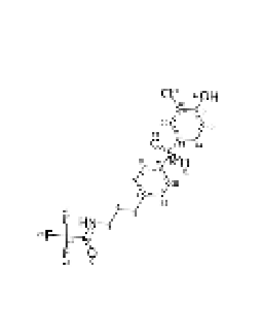 O=C(NCCCc1ccc(S(=O)(=O)c2ccc(O)c(Cl)c2)cc1)C(F)(F)F